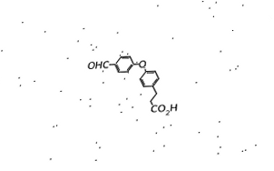 O=Cc1ccc(Oc2ccc(CCC(=O)O)cc2)cc1